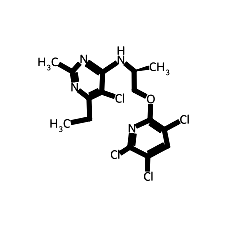 CCc1nc(C)nc(N[C@@H](C)COc2nc(Cl)c(Cl)cc2Cl)c1Cl